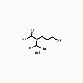 CCCCC(O)N(CCCO)C(O)CCCC.Cl